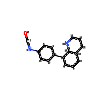 O=C=Nc1ccc(-c2cccc3cccnc23)cc1